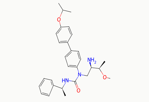 CO[C@H](C)[C@H](N)CN(C(=O)N[C@@H](C)c1ccccc1)c1ccc(-c2ccc(OC(C)C)cc2)cc1